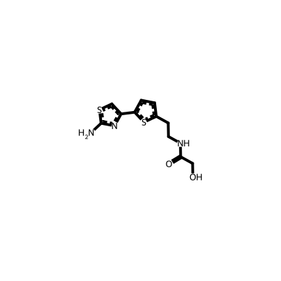 Nc1nc(-c2ccc(CCNC(=O)CO)s2)cs1